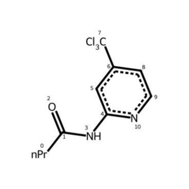 CCCC(=O)Nc1cc(C(Cl)(Cl)Cl)ccn1